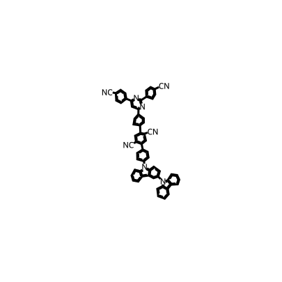 N#Cc1ccc(-c2cc(-c3ccc(-c4cc(C#N)c(-c5ccc(-n6c7ccccc7c7cc(-n8c9ccccc9c9ccccc98)ccc76)cc5)cc4C#N)cc3)nc(-c3ccc(C#N)cc3)n2)cc1